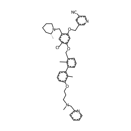 Cc1c(COc2cc(OCc3cncc(C#N)c3)c(CN3CCCC[C@H]3C)cc2Cl)cccc1-c1cccc(OCCCN(C)Cc2ccccn2)c1C